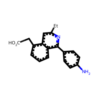 CCc1cc2c(CC(=O)O)cccc2c(-c2ccc(N)cc2)n1